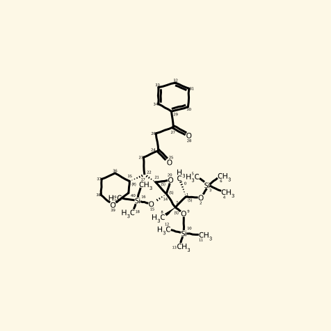 C[C@H](O[Si](C)(C)C)[C@](C)(O[Si](C)(C)C)[C@]1(O[Si](C)(C)C)O[C@H]1C(CC(=O)CC(=O)c1ccccc1)[C@H]1CCCOC1